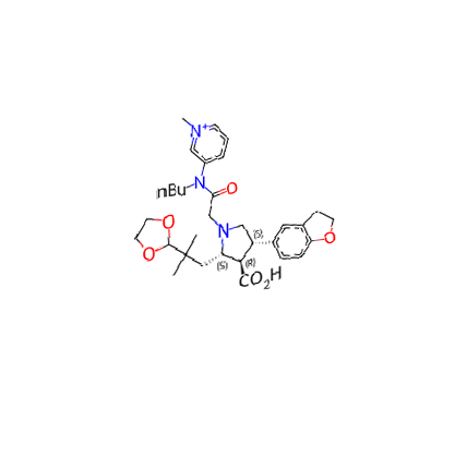 CCCCN(C(=O)CN1C[C@H](c2ccc3c(c2)CCO3)[C@@H](C(=O)O)[C@@H]1CC(C)(C)C1OCCO1)c1ccc[n+](C)c1